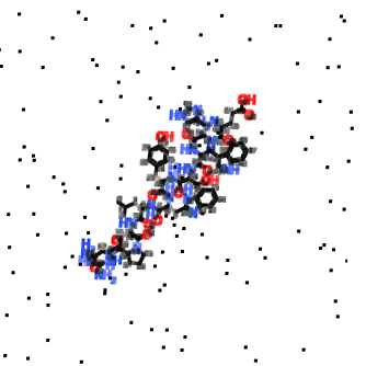 CC(C)C[C@H](NC(=O)[C@@H](Cc1nc2ccccc2[nH]1)NC(=O)[C@H](Cc1ccc(O)cc1)NC(=O)[C@H](CO)NC(=O)[C@H](Cc1c[nH]c2ccccc12)NC(=O)[C@H](Cc1c[nH]cn1)NC(=O)[C@@H](N)CCC(=O)O)C(=O)N[C@@H](CCCNC(=N)N)C(=O)N1CCC[C@H]1C(=O)NCC(N)=O